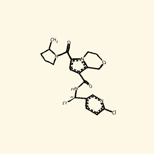 CC[C@@H](NC(=O)c1cc(C(=O)N2CCCC2C)n2c1COCC2)c1ccc(Cl)nc1